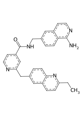 CCc1ccc2cc(Cc3cc(C(=O)NCc4ccc5c(N)nccc5c4)ccn3)ccc2n1